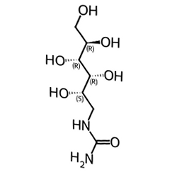 NC(=O)NC[C@H](O)[C@@H](O)[C@H](O)[C@H](O)CO